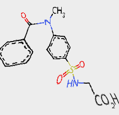 CN(C(=O)c1ccccc1)c1ccc(S(=O)(=O)NCC(=O)O)cc1